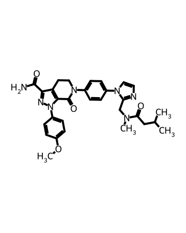 COc1ccc(-n2nc(C(N)=O)c3c2C(=O)N(c2ccc(-n4ccnc4CN(C)C(=O)CC(C)C)cc2)CC3)cc1